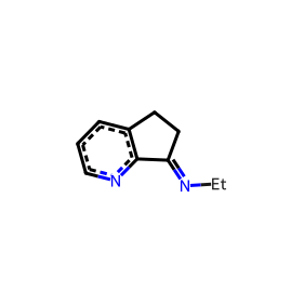 CC/N=C1\CCc2cccnc21